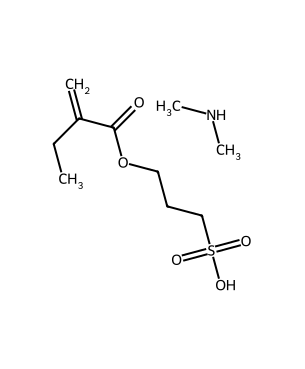 C=C(CC)C(=O)OCCCS(=O)(=O)O.CNC